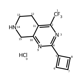 Cl.FC(F)(F)c1nc(C2=CC=C2)nc2c1CCNC2